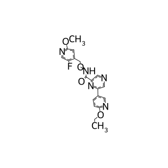 CCOc1ccc(-c2cncc(C(=O)NOCc3cc(OC)ncc3F)n2)cn1